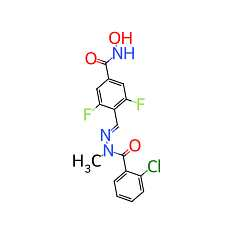 CN(N=Cc1c(F)cc(C(=O)NO)cc1F)C(=O)c1ccccc1Cl